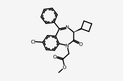 COC(=O)CN1C(=O)[C@H](C2CCC2)N=C(c2ccccc2)c2cc(Cl)ccc21